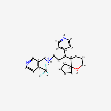 FC(F)(F)c1ccncc1CNCCC(c1ccncc1)C1CCCOC12CCCC2